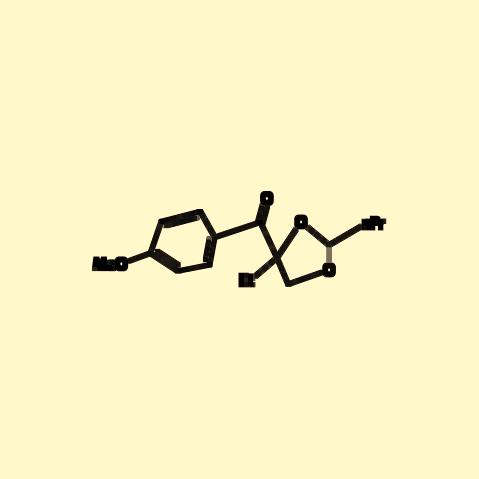 CCCC1OCC(CC)(C(=O)c2ccc(OC)cc2)O1